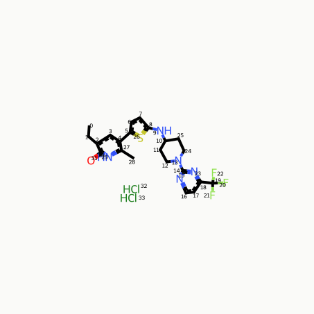 CCc1cc(-c2ccc(NC3CCN(c4nccc(C(F)(F)F)n4)CC3)s2)c(C)[nH]c1=O.Cl.Cl